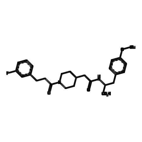 CC(C)(C)Oc1ccc(CC(NC(=O)CC2CCN(C(=O)CCc3cccc(F)c3)CC2)C(=O)O)cc1